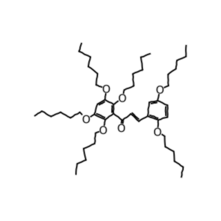 CCCCCCOc1ccc(OCCCCCC)c(C=CC(=O)c2c(OCCCCCC)c(OCCCCCC)cc(OCCCCCC)c2OCCCCCC)c1